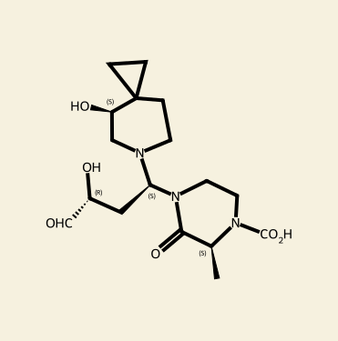 C[C@H]1C(=O)N([C@@H](C[C@@H](O)C=O)N2CCC3(CC3)[C@H](O)C2)CCN1C(=O)O